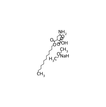 CCCCCCCCCCCCOC(=O)C(CC(N)=O)S(=O)(=O)O.CCOCC.[NaH]